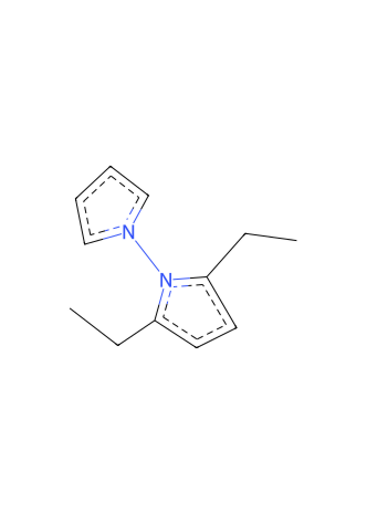 CCc1ccc(CC)n1-n1cccc1